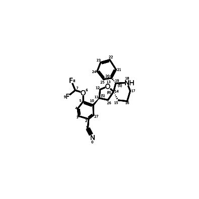 N#Cc1ccc(OC(F)F)c([C@H]2CO[C@]3(CCCN[C@H]3c3ccccc3)C2)c1